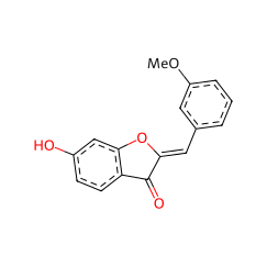 COc1cccc(/C=C2\Oc3cc(O)ccc3C2=O)c1